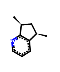 C[C@@H]1C[C@H](C)c2ncccc21